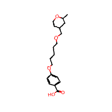 CC1CC(COCCCCCOc2ccc(C(=O)O)cc2)CCO1